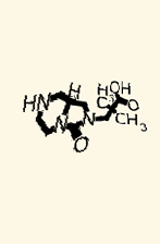 CC(C)(CN1C[C@@H]2CNCCN2C1=O)C(=O)O